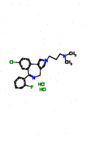 CN(C)CCCn1cc2c(c1)-c1ccc(Cl)cc1C(c1ccccc1F)=NC2.Cl.Cl